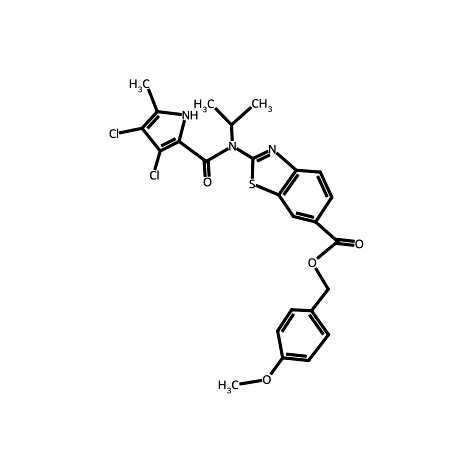 COc1ccc(COC(=O)c2ccc3nc(N(C(=O)c4[nH]c(C)c(Cl)c4Cl)C(C)C)sc3c2)cc1